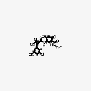 CCCNC(=O)c1cc(NC(=O)C2C(c3cc(Cl)cc(Cl)c3)C2(Cl)Cl)c(Cl)cc1Cl